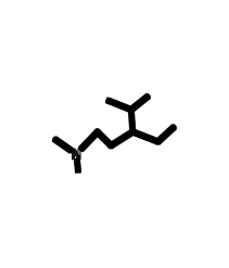 CCC(CCN(C)C)C(C)C